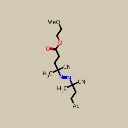 COCCOC(=O)CCC(C)(C#N)N=NC(C)(C#N)CCC(C)=O